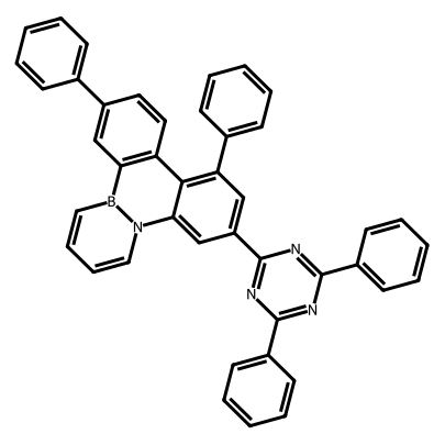 C1=CB2c3cc(-c4ccccc4)ccc3-c3c(-c4ccccc4)cc(-c4nc(-c5ccccc5)nc(-c5ccccc5)n4)cc3N2C=C1